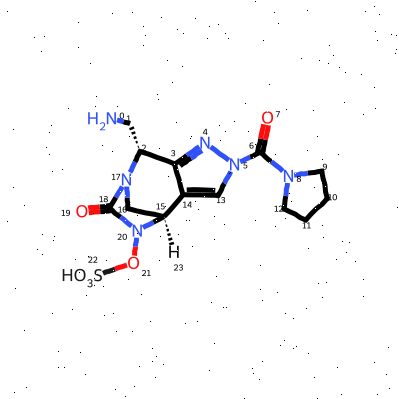 NC[C@@H]1c2nn(C(=O)N3CCCC3)cc2[C@@H]2CN1C(=O)N2OS(=O)(=O)O